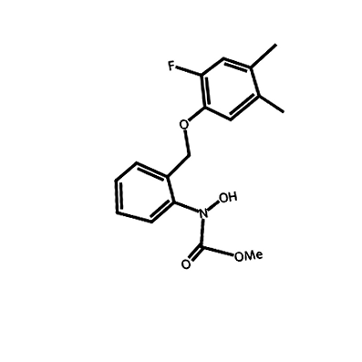 COC(=O)N(O)c1ccccc1COc1cc(C)c(C)cc1F